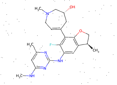 CNc1cc(C)nc(Nc2cc3c(c(C4=CCN(C)C[C@H](O)C4)c2F)OC[C@H]3C)n1